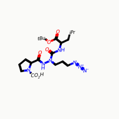 CC(C)CC(NC(=O)N(CCCN=[N+]=[N-])NC(=O)C1CCCN1C(=O)O)C(=O)OC(C)(C)C